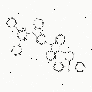 S=P(c1ccccc1)(c1ccccc1)c1cccc(-c2c3ccccc3c(-c3ccc4c(c3)c3ccccc3n4-c3nc(-c4ccccc4)cc(-c4ccccc4)n3)c3ccccc23)c1